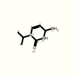 CC(C)N1C=CC(N)NC1=O